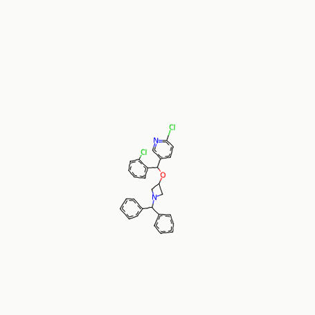 Clc1ccc(C(OC2CN(C(c3ccccc3)c3ccccc3)C2)c2ccccc2Cl)cn1